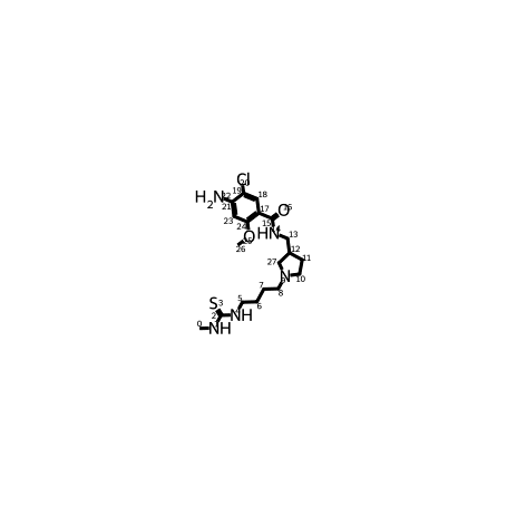 CNC(=S)NCCCCN1CCC(CNC(=O)c2cc(Cl)c(N)cc2OC)C1